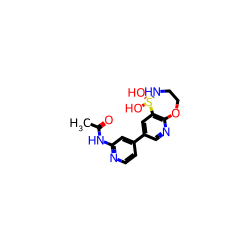 CC(=O)Nc1cc(-c2cnc3c(c2)S(O)(O)NCCO3)ccn1